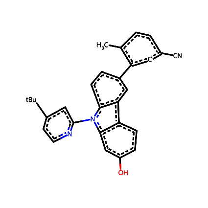 Cc1ccc(C#N)cc1-c1ccc2c(c1)c1ccc(O)cc1n2-c1cc(C(C)(C)C)ccn1